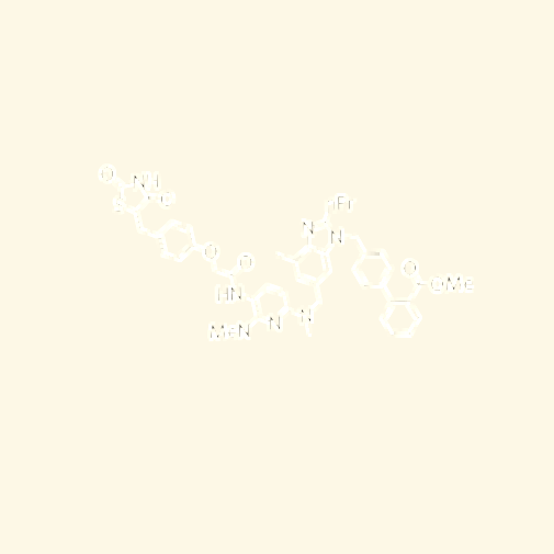 CCCc1nc2c(C)cc(CN(C)c3ccc(NC(=O)COc4ccc(CC5SC(=O)NC5=O)cc4)c(NC)n3)cc2n1Cc1ccc(-c2ccccc2C(=O)OC)cc1